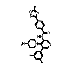 Cc1cc(C)cc(-c2cncc(NC(=O)c3ccc(-c4noc(C)n4)cc3)c2N2CCC(N)CC2)c1